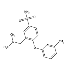 Cc1cccc(Oc2ccc(S(N)(=O)=O)cc2CN(C)C)c1